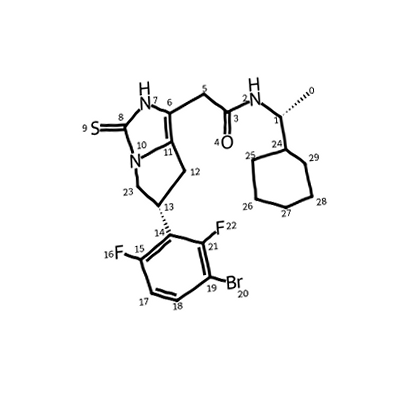 C[C@@H](NC(=O)Cc1[nH]c(=S)n2c1C[C@H](c1c(F)ccc(Br)c1F)C2)C1CCCCC1